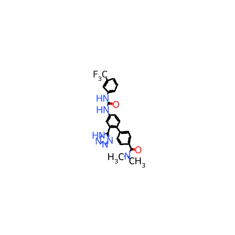 CN(C)C(=O)c1ccc(-c2ccc(NC(=O)Nc3cccc(C(F)(F)F)c3)cc2-c2nnn[nH]2)cc1